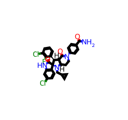 NC(=O)c1ccc(N2CC[C@H]3[C@@H](C2=O)[C@H](c2cccc(Cl)c2F)[C@]2(C(=O)Nc4cc(Cl)ccc42)N3CC2CC2)cc1